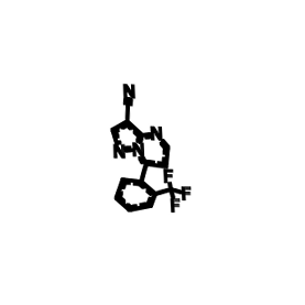 N#Cc1cnn2c(-c3ccccc3C(F)(F)F)ccnc12